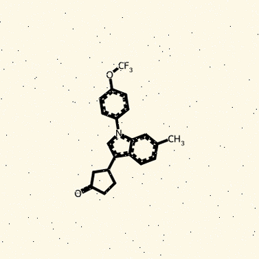 Cc1ccc2c(C3CCC(=O)C3)cn(-c3ccc(OC(F)(F)F)cc3)c2c1